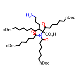 CCCCCCCCCCCCCCCC(=O)C(CCCN)C(C(=O)O)(C(=O)CCCCCCCCCCCCCCC)N(C(=O)CCCCCCCCCCCCCCC)C(=O)CCCCCCCCCCCCCCC